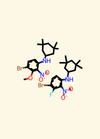 CC1(C)CC(Nc2ccc(Br)c(F)c2[N+](=O)[O-])CC(C)(C)C1.COc1c(Br)ccc(NC2CC(C)(C)CC(C)(C)C2)c1[N+](=O)[O-]